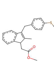 COC(=O)CC1C(C)=C(Cc2ccc(SC)cc2)c2ccccc21